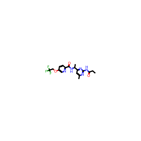 CCC(=O)Nc1nc(C)cc(C(C)NC(=O)c2ccc(OCC(F)(F)F)cn2)n1